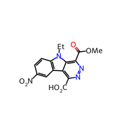 CCn1c2ccc([N+](=O)[O-])cc2c2c(C(=O)O)nnc(C(=O)OC)c21